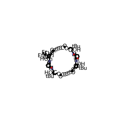 CCC(CC)C(C)(C)c1cc2cc(c1O)/C=N/[C@H]1CCCC[C@@H]1/N=C/c1cc(cc(C(C)(C)C)c1O)OC(=O)CCCCCC(=O)Oc1cc(c(O)c(C(C)(C)C)c1)/C=N/[C@H]1CCCC[C@@H]1/N=C/c1cc(cc(C(C)(C)C)c1O)OC(=O)CCCCCC(=O)O2